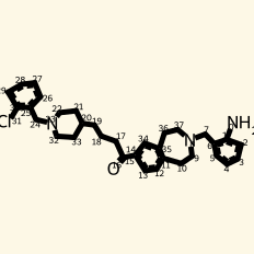 Nc1ccccc1CN1CCc2ccc(C(=O)CCCC3CCN(Cc4ccccc4Cl)CC3)cc2CC1